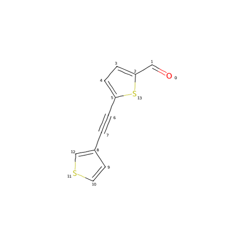 O=Cc1ccc(C#Cc2ccsc2)s1